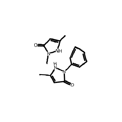 Cc1cc(=O)n(-c2ccccc2)[nH]1.Cc1cc(=O)n(C)[nH]1